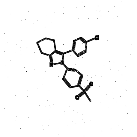 CS(=O)(=O)c1ccc(-n2nc3c(c2-c2ccc(Cl)cc2)CCCC3)cc1